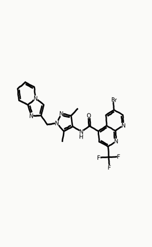 Cc1nn(Cc2cn3ccccc3n2)c(C)c1NC(=O)c1cc(C(F)(F)F)nc2ncc(Br)cc12